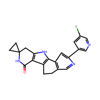 O=C1NC2(CC2)Cc2[nH]c3c(c21)CCc1cnc(-c2cncc(F)c2)cc1-3